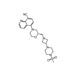 C[C@@H]1CN(c2ccc(C#N)c3ncccc23)C[C@@H](CN2CC(N3CCN(S(C)(=O)=O)CC3)C2)O1